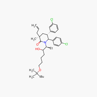 C=CC[C@@]1(C)C[C@H](c2cccc(Cl)c2)C(c2ccc(Cl)cc2)N([C@@H](CC)C(O)CCCCO[Si](C)(C)C(C)(C)C)C1=O